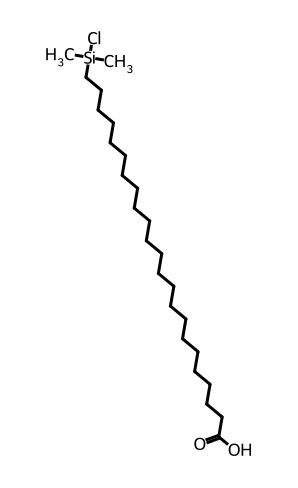 C[Si](C)(Cl)CCCCCCCCCCCCCCCCCCCCCCC(=O)O